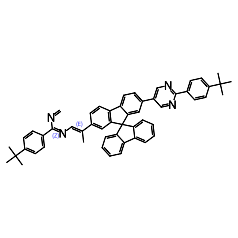 C=N/C(=N\C=C(/C)c1ccc2c(c1)C1(c3ccccc3-c3ccccc31)c1cc(-c3cnc(-c4ccc(C(C)(C)C)cc4)nc3)ccc1-2)c1ccc(C(C)(C)C)cc1